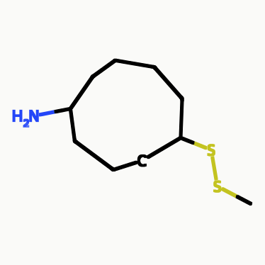 CSSC1CCCCC(N)CCC1